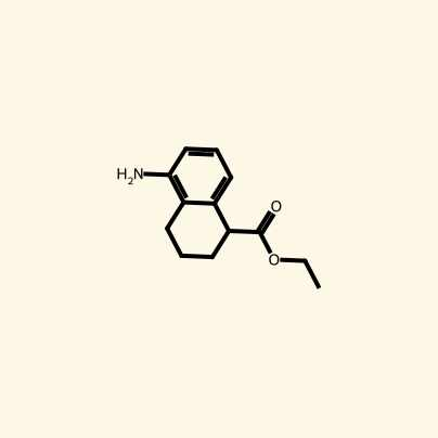 CCOC(=O)C1CCCc2c(N)cccc21